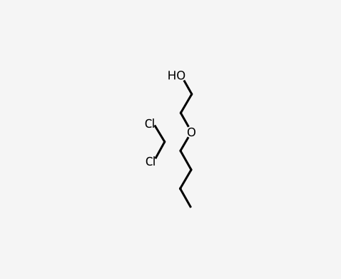 CCCCOCCO.ClCCl